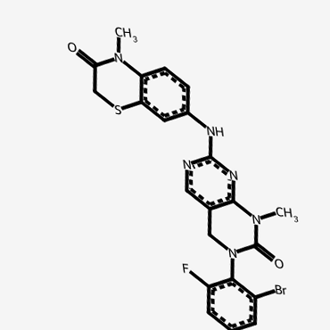 CN1C(=O)CSc2cc(Nc3ncc4c(n3)N(C)C(=O)N(c3c(F)cccc3Br)C4)ccc21